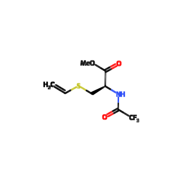 C=CSC[C@H](NC(=O)C(F)(F)F)C(=O)OC